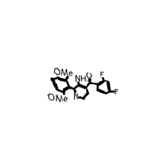 COc1cccc(OC)c1-c1nccc(C(=O)c2ccc(F)cc2F)c1N